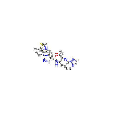 Cc1nc(-n2nccn2)c(C#N)cc1NC(=O)c1cnn(-c2cccc3scnc23)c1C(F)(F)F